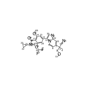 COCC(C)(C#N)c1ccn2c(-c3cc(OC)c(C(=O)NC4CC4)c(OC(F)F)c3)cnc2c1